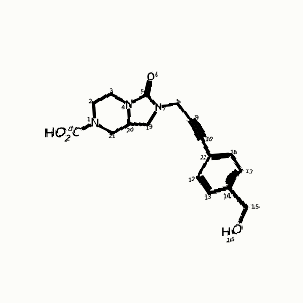 O=C(O)N1CCN2C(=O)N(CC#Cc3ccc(CO)cc3)CC2C1